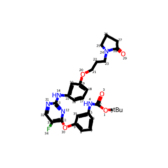 CC(C)(C)OC(=O)Nc1cccc(Oc2nc(Nc3cccc(OCCCN4CCCC4=O)c3)ncc2F)c1